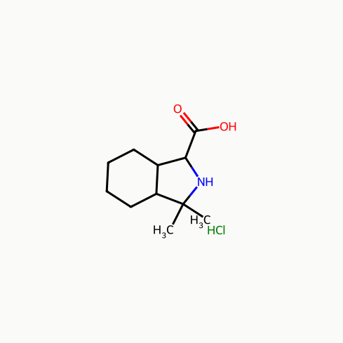 CC1(C)NC(C(=O)O)C2CCCCC21.Cl